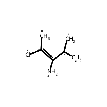 C/C(Cl)=C(/N)C(C)C